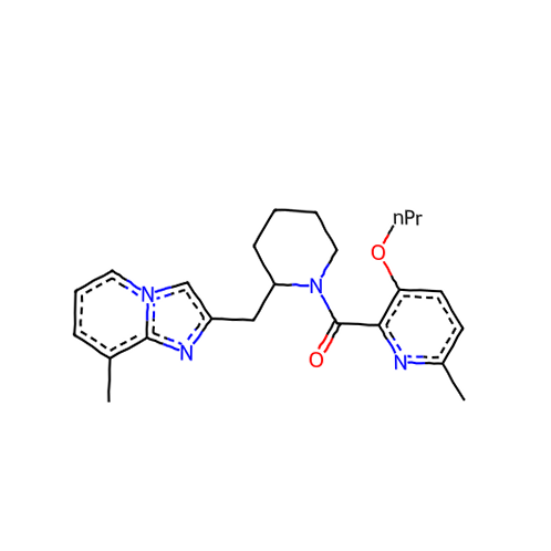 CCCOc1ccc(C)nc1C(=O)N1CCCCC1Cc1cn2cccc(C)c2n1